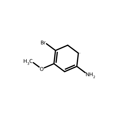 COC1=C(Br)C[CH]C(N)=C1